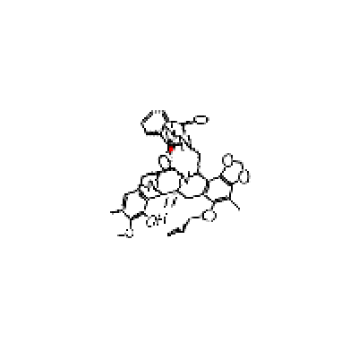 C=CCOc1c(C)c2c(c3c1C[C@H]1C4c5c(cc(C)c(OC)c5O)CC([C@H](C#N)N1C3CN1C(=O)c3ccccc3C1=O)N4C)OCO2